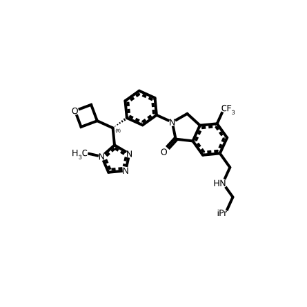 CC(C)CNCc1cc2c(c(C(F)(F)F)c1)CN(c1cccc([C@H](c3nncn3C)C3COC3)c1)C2=O